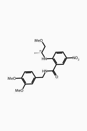 COC[C@@H](C)Nc1ccc([N+](=O)[O-])cc1C(=O)NCc1ccc(OC)c(OC)c1